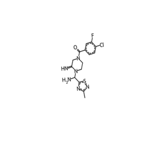 Cc1nsc(C(N)N2CCN(C(=O)c3ccc(Cl)c(F)c3)CC2=N)n1